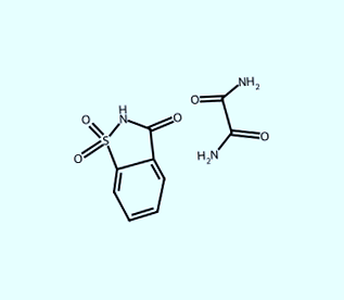 NC(=O)C(N)=O.O=C1NS(=O)(=O)c2ccccc21